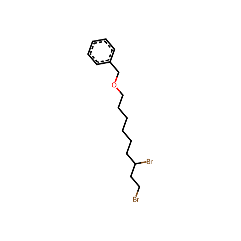 BrCCC(Br)CCCCCCOCc1ccccc1